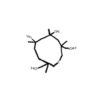 CC1(O)CCCC(C)(O)CC(C)(O)CC(C)(O)CC1